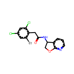 CCc1cc(Cl)cc(Cl)c1CC(=O)NC1COc2ncccc21